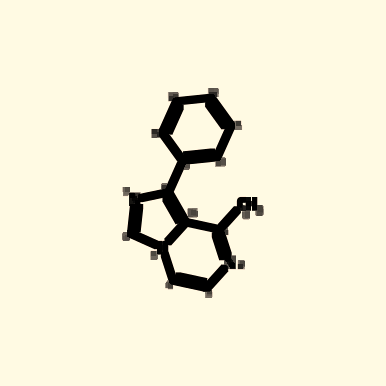 Cc1nccn2cnc(-c3ccccc3)c12